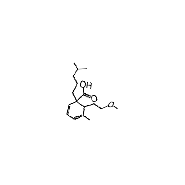 COCCC1C(C)=CC=CC1(CCCC(C)C)C(=O)O